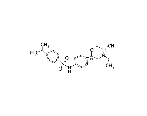 CCN1C[C@@H](c2ccc(NS(=O)(=O)c3ccc(C(C)C)cc3)cc2)OC[C@@H]1C